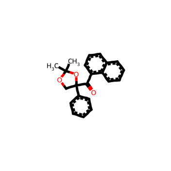 CC1(C)OCC(C(=O)c2cccc3ccccc23)(c2ccccc2)O1